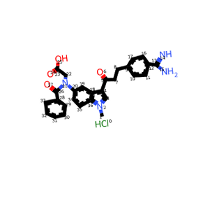 Cl.Cn1cc(C(=O)CCc2ccc(C(=N)N)cc2)c2cc(N(CC(=O)O)C(=O)c3ccccc3)ccc21